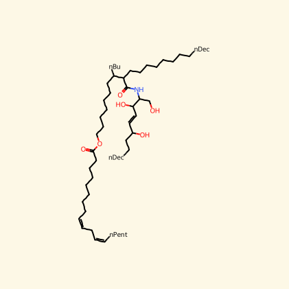 CCCCC/C=C\C/C=C\CCCCCCCC(=O)OCCCCCCCC(CCCC)C(CCCCCCCCCCCCCCCCCC)C(=O)NC(CO)C(O)/C=C/C(O)CCCCCCCCCCCC